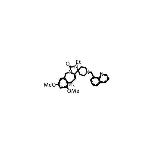 CCN1C(=O)N2Cc3cc(OC)cc(OC)c3[C@@H](C)C=C2C12CCN(Cc1cccc3cccnc13)CC2